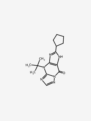 CC(C)(C)n1c2nc(C3CCCC3)[nH]c2c(=O)n2ncnc12